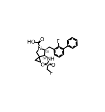 O=C(O)N1CC2(CC2)[C@H](NS(=O)(=O)CF)[C@@H]1Cc1cccc(-c2ccccc2)c1F